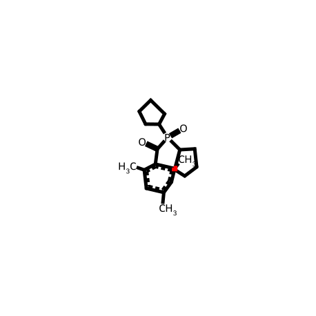 Cc1cc(C)c(C(=O)P(=O)(C2CCCC2)C2CCCC2)c(C)c1